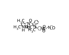 Cc1cc(C)c(CNC(=O)c2c(C)n([C@H](C)C3CCN(S(=O)(=O)CCN4CCOCC4)CC3)c3ccccc23)c(=O)[nH]1